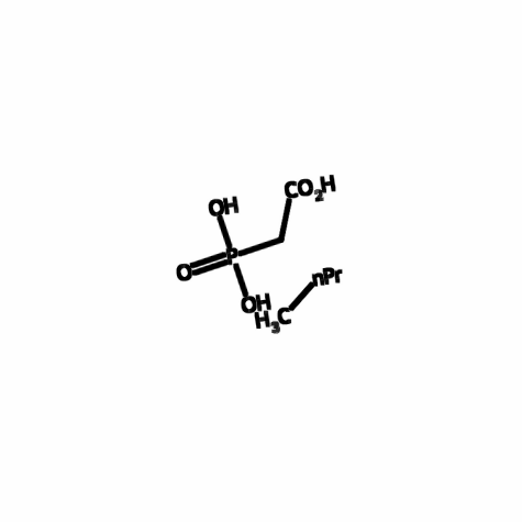 CCCC.O=C(O)CP(=O)(O)O